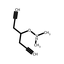 C#CCC(CC#C)O[SiH](C)C